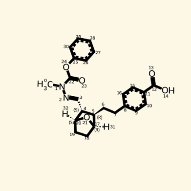 CN(N=C[C@@H]1[C@@H](CCc2ccc(C(=O)O)cc2)[C@H]2CC[C@@H]1O2)C(=O)Oc1ccccc1